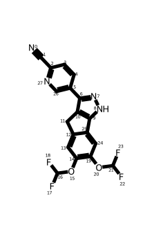 N#Cc1ccc(-c2n[nH]c3c2Cc2cc(OC(F)F)c(OC(F)F)cc2-3)cn1